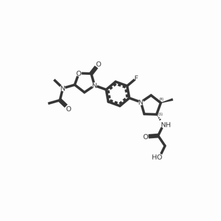 CC(=O)N(C)C1CN(c2ccc(N3C[C@@H](C)[C@H](NC(=O)CO)C3)c(F)c2)C(=O)O1